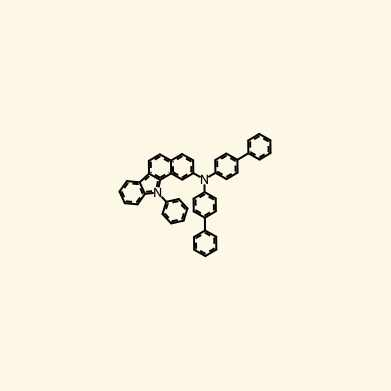 c1ccc(-c2ccc(N(c3ccc(-c4ccccc4)cc3)c3ccc4ccc5c6ccccc6n(-c6ccccc6)c5c4c3)cc2)cc1